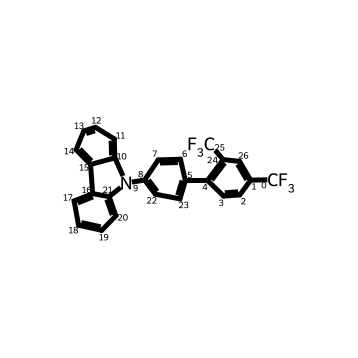 FC(F)(F)c1ccc(-c2ccc(-n3c4ccccc4c4ccccc43)cc2)c(C(F)(F)F)c1